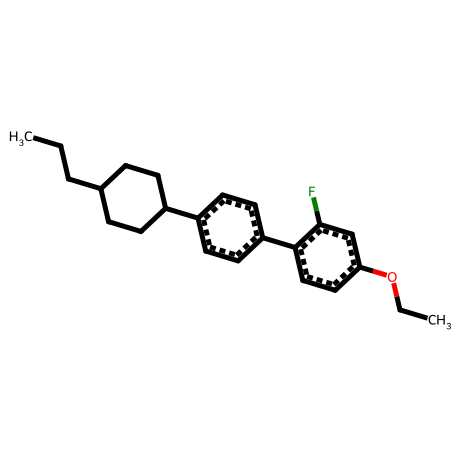 CCCC1CCC(c2ccc(-c3ccc(OCC)cc3F)cc2)CC1